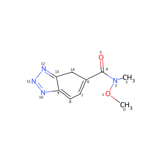 CON(C)C(=O)C1=CC=C2N=NN=C2C1